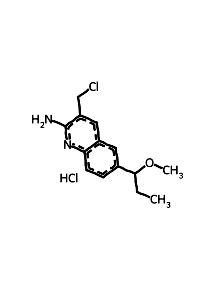 CCC(OC)c1ccc2nc(N)c(CCl)cc2c1.Cl